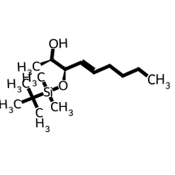 CCCC/C=C/[C@@H](O[Si](C)(C)C(C)(C)C)[C@@H](C)O